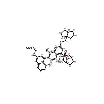 CCc1cccc2cc(OCOC)cc(-c3ncc4c(N5CC6CCC(C5)N6C(=O)OC(C)(C)C)cc(OCC56CCCN5CCC6)nc4c3F)c12